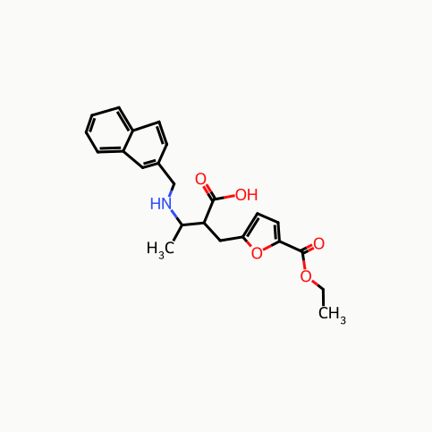 CCOC(=O)c1ccc(CC(C(=O)O)C(C)NCc2ccc3ccccc3c2)o1